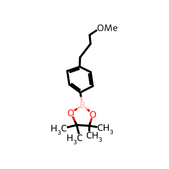 COCCCc1ccc(B2OC(C)(C)C(C)(C)O2)cc1